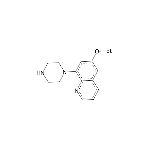 CCOc1cc(N2CCNCC2)c2ncccc2c1